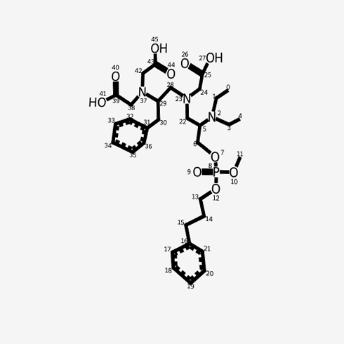 CCN(CC)C(COP(=O)(OC)OCCCc1ccccc1)CN(CC(=O)O)CC(Cc1ccccc1)N(CC(=O)O)CC(=O)O